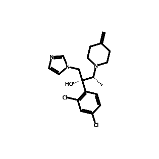 C=C1CCN([C@H](C)[C@](O)(Cn2ccnc2)c2ccc(Cl)cc2Cl)CC1